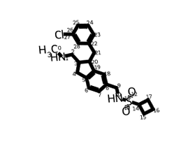 CNCC1Cc2ccc(CNS(=O)(=O)C3CCC3)cc2C1Cc1cccc(Cl)c1